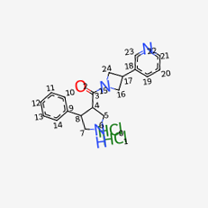 Cl.Cl.O=C(C1CNCC1c1ccccc1)N1CC(c2cccnc2)C1